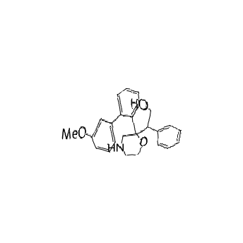 COc1cccc(-c2ccccc2C2(C(CO)c3ccccc3)CNCCO2)c1